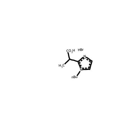 Br.CCCCn1ccnc1C(C)C(=O)O